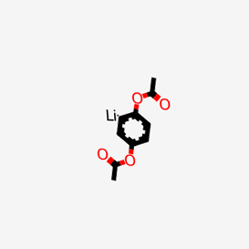 CC(=O)Oc1ccc(OC(C)=O)cc1.[Li]